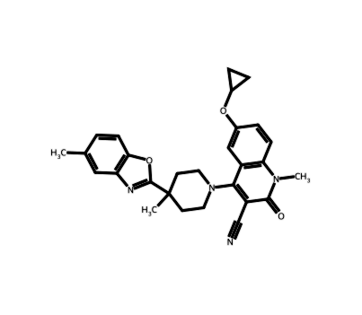 Cc1ccc2oc(C3(C)CCN(c4c(C#N)c(=O)n(C)c5ccc(OC6CC6)cc45)CC3)nc2c1